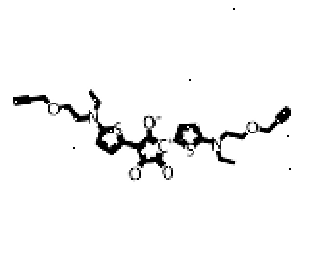 C#CCOCCN(CC)c1ccc(-c2c([O-])[c+](-c3ccc(N(CC)CCOCC#C)s3)c(=O)c2=O)s1